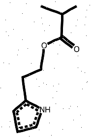 CC(C)C(=O)OCCc1ccc[nH]1